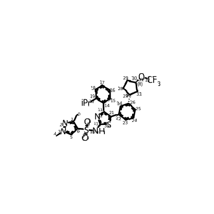 Cc1nn(C)cc1S(=O)(=O)Nc1nc(-c2ccccc2C(C)C)c(-c2cccc([C@@H]3CC[C@@H](OC(F)(F)F)C3)c2)s1